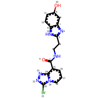 O=C(NCCc1nc2cc(O)ccc2[nH]1)c1cccn2c(Br)nnc12